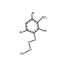 CC(C)c1cc(C(C)C)c([N+](=O)[O-])c(C(C)C)c1SOOO